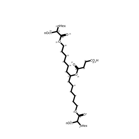 CCCCCCCCC(CCCCCC)C(=O)OCCCCCCC(CCCCCCOC(=O)C(CCCCCC)CCCCCCCC)OC(=O)CCC(=O)O